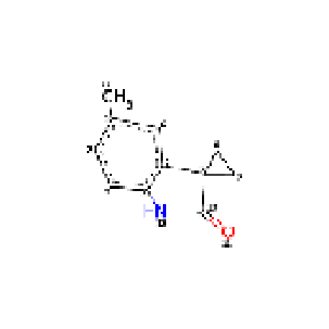 Cc1ccc2c(c1)C1(CC1)C(=O)N2